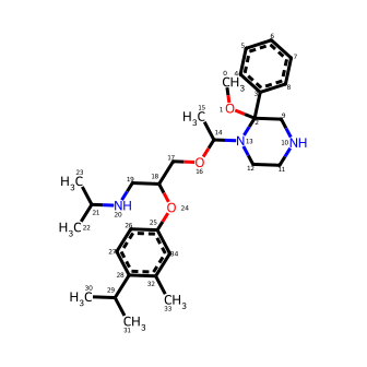 COC1(c2ccccc2)CNCCN1C(C)OCC(CNC(C)C)Oc1ccc(C(C)C)c(C)c1